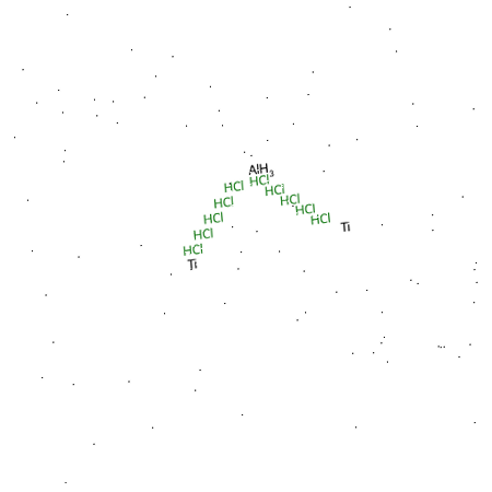 Cl.Cl.Cl.Cl.Cl.Cl.Cl.Cl.Cl.Cl.[AlH3].[Ti].[Ti]